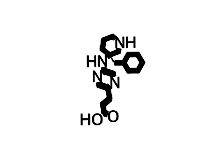 O=C(O)/C=C/c1cnc(N[C@@]2(CC3CCCCC3)CCCNC2)cn1